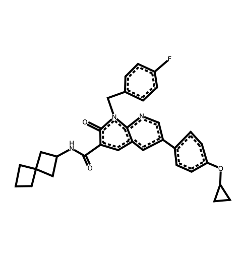 O=C(NC1CC2(CCC2)C1)c1cc2cc(-c3ccc(OC4CC4)cc3)cnc2n(Cc2ccc(F)cc2)c1=O